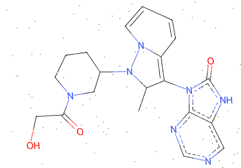 CC1C(n2c(=O)[nH]c3cncnc32)=C2C=CC=CN2N1C1CCCN(C(=O)CO)C1